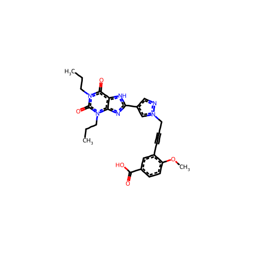 CCCn1c(=O)c2[nH]c(-c3cnn(CC#Cc4cc(C(=O)O)ccc4OC)c3)nc2n(CCC)c1=O